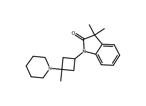 CC1(C)C(=O)N(C2CC(C)(N3CCCCC3)C2)c2ccccc21